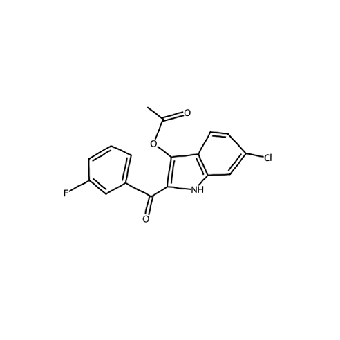 CC(=O)Oc1c(C(=O)c2cccc(F)c2)[nH]c2cc(Cl)ccc12